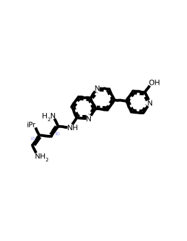 CC(C)C(=C/N)/C=C(\N)Nc1ccc2ncc(-c3ccnc(O)c3)cc2n1